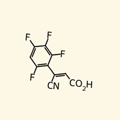 N#CC(=CC(=O)O)c1c(F)cc(F)c(F)c1F